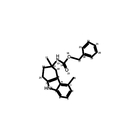 Cc1cccc2[nH]c3c(c12)CC(C)(NC(=O)OCc1ccccc1)CC3